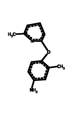 Cc1cccc(Oc2ccc(N)cc2C)n1